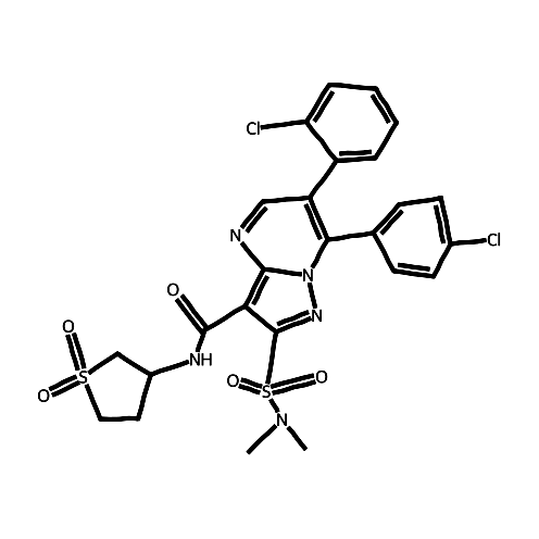 CN(C)S(=O)(=O)c1nn2c(-c3ccc(Cl)cc3)c(-c3ccccc3Cl)cnc2c1C(=O)NC1CCS(=O)(=O)C1